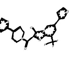 O=C(c1nc2c(C(F)(F)F)cc(-c3ccoc3)cn2c1Cl)N1CC=C(c2cccs2)CC1